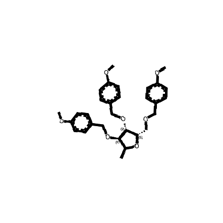 COc1ccc(COC[C@@H]2OC(C)[C@@H](OCc3ccc(OC)cc3)[C@@H]2OCc2ccc(OC)cc2)cc1